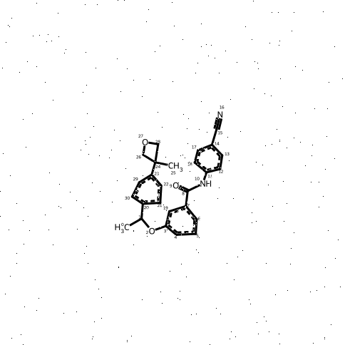 CC(Oc1cccc(C(=O)Nc2ccc(C#N)cc2)c1)c1ccc(C2(C)COC2)cc1